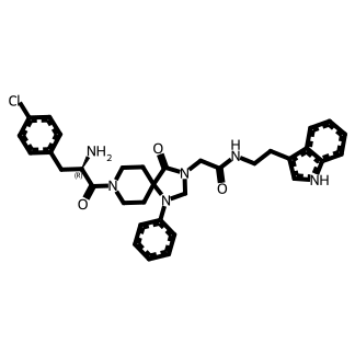 N[C@H](Cc1ccc(Cl)cc1)C(=O)N1CCC2(CC1)C(=O)N(CC(=O)NCCc1c[nH]c3ccccc13)CN2c1ccccc1